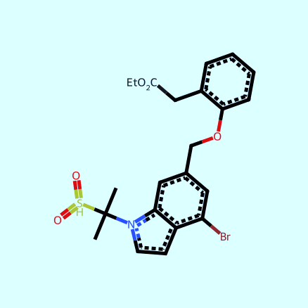 CCOC(=O)Cc1ccccc1OCc1cc(Br)c2ccn(C(C)(C)[SH](=O)=O)c2c1